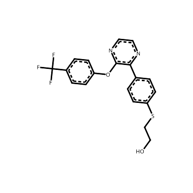 OCCSc1ccc(-c2nccnc2Oc2ccc(C(F)(F)F)cc2)cc1